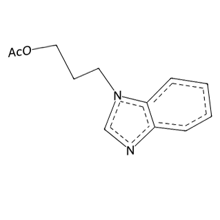 CC(=O)OCCCn1cnc2ccccc21